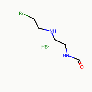 Br.O=CNCCNCCBr